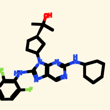 CC(C)(O)[C@@H]1CCC(n2c(Nc3c(F)cccc3F)nc3cnc(NC4CCCCC4)nc32)C1